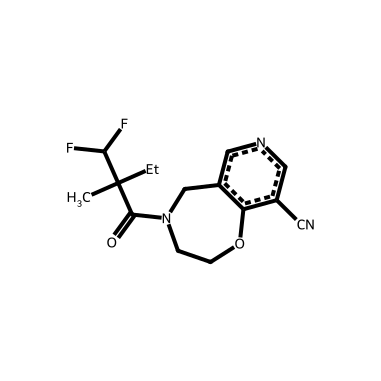 CCC(C)(C(=O)N1CCOc2c(C#N)cncc2C1)C(F)F